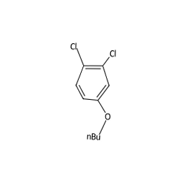 CCCCOc1ccc(Cl)c(Cl)c1